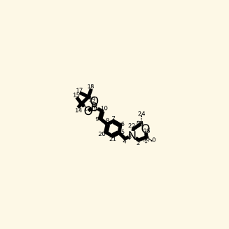 C[C@@H]1CN(Cc2ccc(C=CB3OC(C)(C)C(C)(C)O3)cc2)C[C@H](C)O1